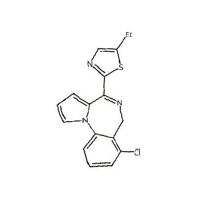 CCc1cnc(C2=NCc3c(Cl)cccc3-n3cccc32)s1